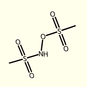 CS(=O)(=O)NOS(C)(=O)=O